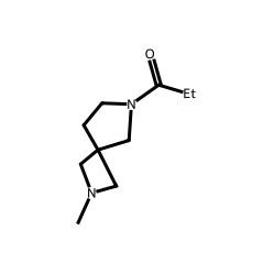 [CH2]CC(=O)N1CCC2(CN(C)C2)C1